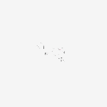 C[C@@H](NC(=O)N1C2C=C(c3ccnc(Nc4cnn(C)c4)n3)CC1CC2)C(F)(F)F